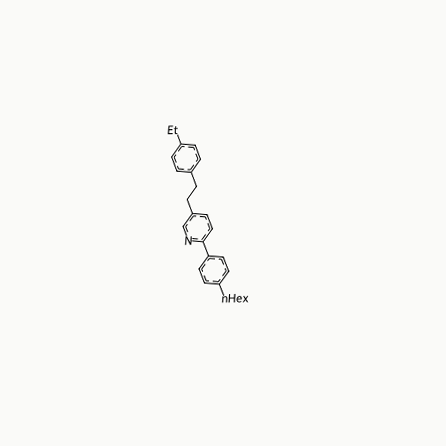 CCCCCCc1ccc(-c2ccc(CCc3ccc(CC)cc3)cn2)cc1